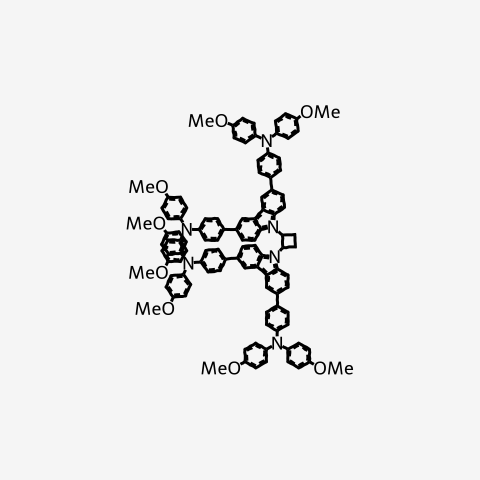 COc1ccc(N(c2ccc(OC)cc2)c2ccc(-c3ccc4c(c3)c3cc(-c5ccc(N(c6ccc(OC)cc6)c6ccc(OC)cc6)cc5)ccc3n4C3CCC3n3c4ccc(-c5ccc(N(c6ccc(OC)cc6)c6ccc(OC)cc6)cc5)cc4c4cc(-c5ccc(N(c6ccc(OC)cc6)c6ccc(OC)cc6)cc5)ccc43)cc2)cc1